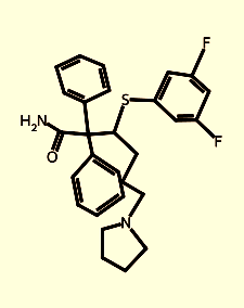 NC(=O)C(c1ccccc1)(c1ccccc1)C(CCCN1CCCC1)Sc1cc(F)cc(F)c1